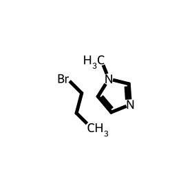 CCCBr.Cn1ccnc1